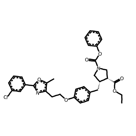 CCOC(=O)[C@H]1CN(C(=O)Oc2ccccc2)C[C@H]1Cc1ccc(OCCc2nc(-c3cccc(Cl)c3)oc2C)cc1